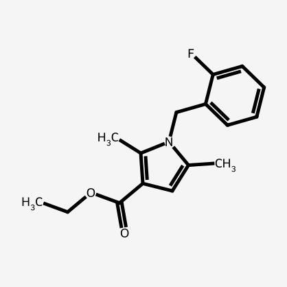 CCOC(=O)c1cc(C)n(Cc2ccccc2F)c1C